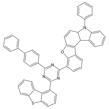 C1=CC2C(c3ccccc3N2c2ccccc2)c2c1oc1c(-c3nc(-c4ccc(-c5ccccc5)cc4)nc(-c4cccc5sc6ccccc6c45)n3)cccc21